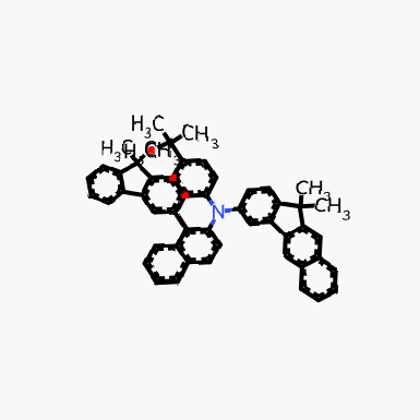 CC(C)(C)c1ccc(N(c2ccc3c(c2)-c2cc4ccccc4cc2C3(C)C)c2ccc3ccccc3c2-c2ccc3c(c2)-c2ccccc2C3(C)C)cc1